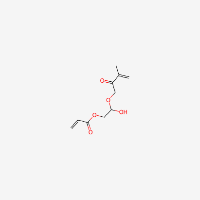 C=CC(=O)OCC(O)OCC(=O)C(=C)C